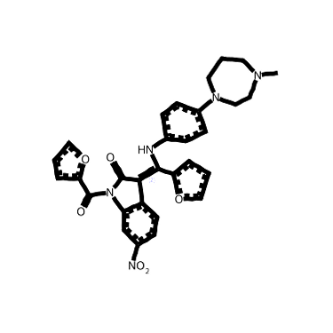 CN1CCCN(c2ccc(N/C(=C3\C(=O)N(C(=O)c4ccco4)c4cc([N+](=O)[O-])ccc43)c3ccco3)cc2)CC1